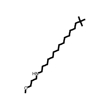 COCCCNCCCCCCCCCCCCCCC(C)(C)C